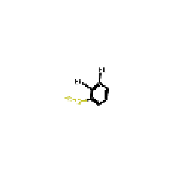 CCc1cccc(SS)c1CC